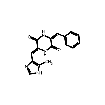 Cc1[nH]cnc1C=c1[nH]c(=O)c(=Cc2ccccc2)[nH]c1=O